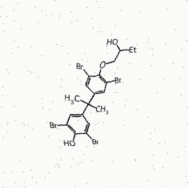 CCC(O)COc1c(Br)cc(C(C)(C)c2cc(Br)c(O)c(Br)c2)cc1Br